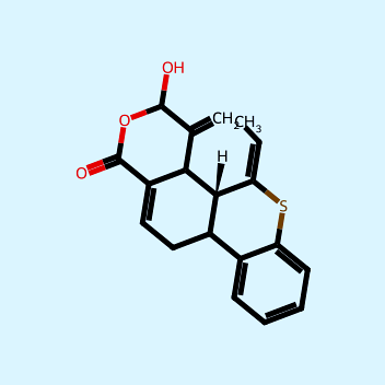 C=C1C(O)OC(=O)C2=CCC3c4ccccc4S/C(=C/C)[C@H]3C12